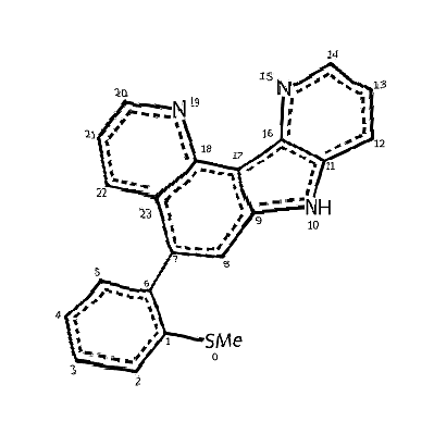 CSc1ccccc1-c1cc2[nH]c3cccnc3c2c2ncccc12